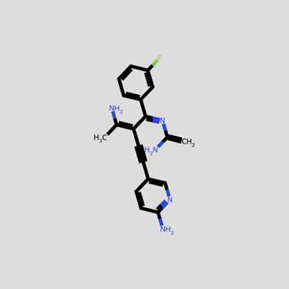 C=C(N)/N=C(\C(C#Cc1ccc(N)nc1)=C(\C)N)c1cccc(F)c1